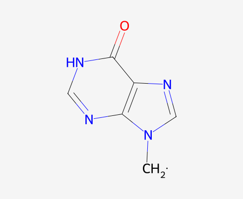 [CH2]n1cnc2c(=O)[nH]cnc21